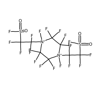 O=S(=O)(F)C(F)(F)C(F)(F)[N+]1(F)C(F)(F)C(F)(F)[N+](F)(C(F)(F)C(F)(F)S(=O)(=O)F)C(F)(F)C1(F)F